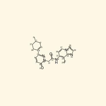 CC1CC=C(c2ccc(=O)n(CC(=O)Nc3ccn4ncnc4c3F)n2)CC1